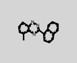 Cc1cccc2nnc(-c3cccc4ccccc34)nc12